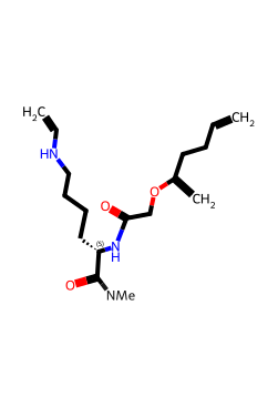 C=CCCC(=C)OCC(=O)N[C@@H](CCCCNC=C)C(=O)NC